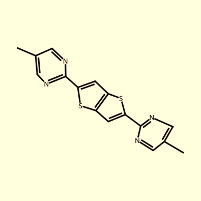 Cc1cnc(-c2cc3sc(-c4ncc(C)cn4)cc3s2)nc1